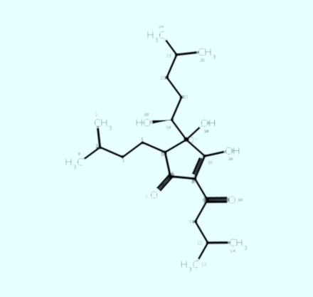 CC(C)CCC1C(=O)C(C(=O)CC(C)C)=C(O)C1(O)[C@@H](O)CCC(C)C